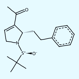 CC(=O)C1=CCN([S@@+]([O-])C(C)(C)C)[C@H]1CCc1ccccc1